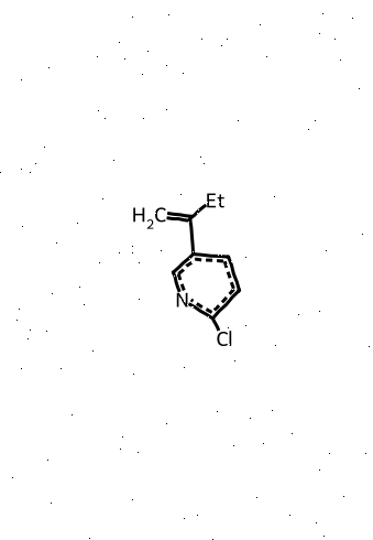 C=C(CC)c1ccc(Cl)nc1